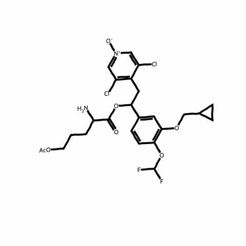 CC(=O)OCCCC(N)C(=O)OC(Cc1c(Cl)c[n+]([O-])cc1Cl)c1ccc(OC(F)F)c(OCC2CC2)c1